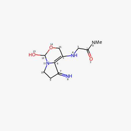 CNC(=O)CNC1=C2C(=N)CCN2C(O)OC1